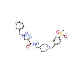 CS(=O)(=O)c1ccc(CN2CCC(CNC(=O)c3cn(Cc4ccccc4)nn3)CC2)cc1